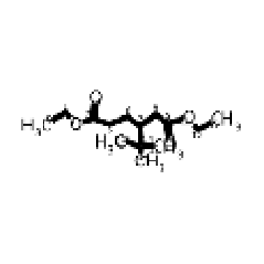 CCOC(=O)CCC(CC(=O)OCC)C(C)(C)C